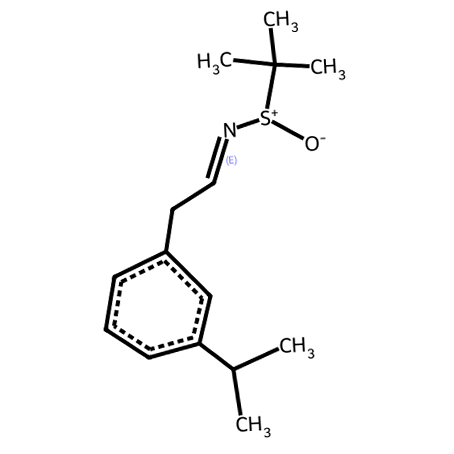 CC(C)c1cccc(C/C=N/[S+]([O-])C(C)(C)C)c1